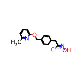 Cc1cccc(OCC2=CCC(C/C(Cl)=N/O)C=C2)n1